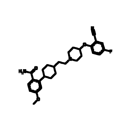 COc1ccc(C(N)=O)c(C2CCC(CCN3CCC(Oc4ccc(F)cc4C#N)CC3)CC2)c1